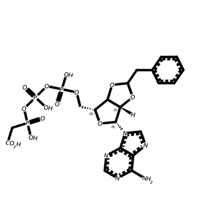 Nc1ncnc2c1ncn2[C@@H]1O[C@H](COP(=O)(O)OP(=O)(O)OP(=O)(O)CC(=O)O)C2OC(Cc3ccccc3)O[C@@H]21